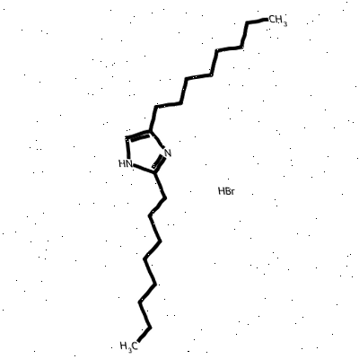 Br.CCCCCCCCc1c[nH]c(CCCCCCCC)n1